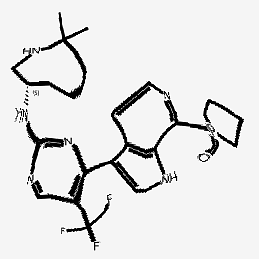 CC1(C)CC[C@H](Nc2ncc(C(F)(F)F)c(-c3c[nH]c4c(P5(=O)CCC5)nccc34)n2)CN1